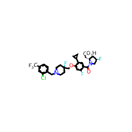 O=C(O)C[C@@H]1C[C@@H](F)CN1C(=O)c1cc(C2CC2)c(OCC2(F)CCN(Cc3ccc(C(F)(F)F)cc3Cl)CC2)cc1F